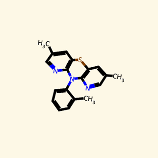 Cc1cnc2c(c1)Sc1cc(C)cnc1N2c1ccccc1C